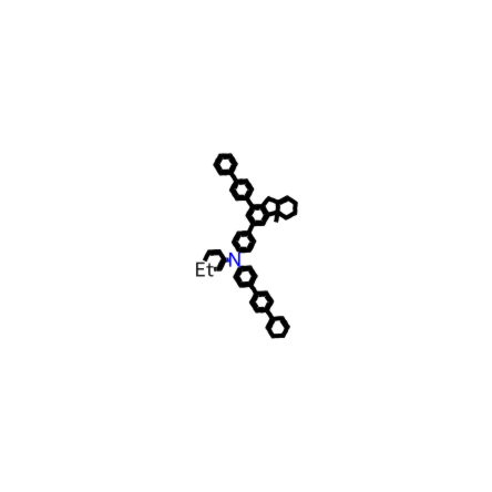 C/C=C\C(=C/CC)N(c1ccc(-c2ccc(C3=CCCC=C3)cc2)cc1)c1ccc(-c2cc(-c3ccc(-c4ccccc4)cc3)c3c(c2)C2(C)CCCC=C2C3)cc1